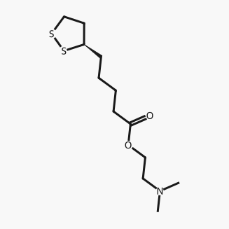 CN(C)CCOC(=O)CCCC[C@@H]1CCSS1